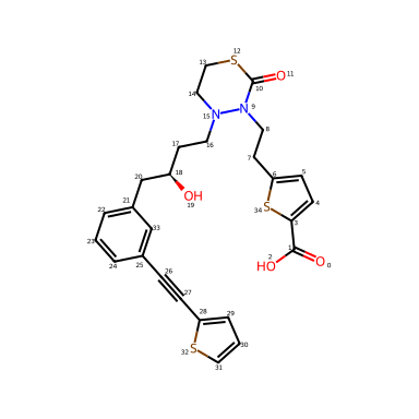 O=C(O)c1ccc(CCN2C(=O)SCCN2CC[C@@H](O)Cc2cccc(C#Cc3cccs3)c2)s1